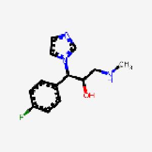 CNCC(O)C(c1ccc(F)cc1)n1ccnc1